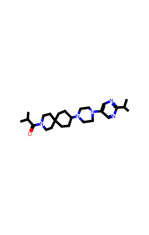 CC(C)C(=O)N1CCC2(CCC(N3CCN(c4cnc(C(C)C)nc4)CC3)CC2)CC1